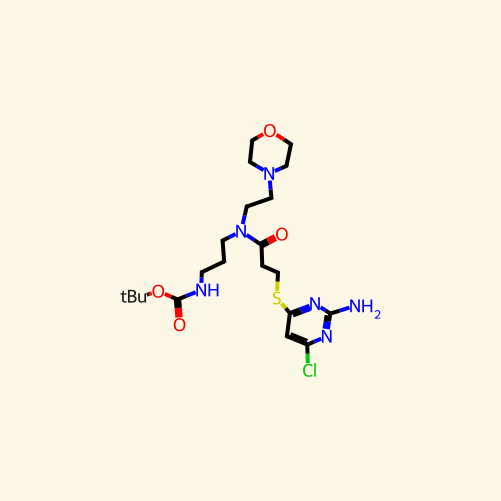 CC(C)(C)OC(=O)NCCCN(CCN1CCOCC1)C(=O)CCSc1cc(Cl)nc(N)n1